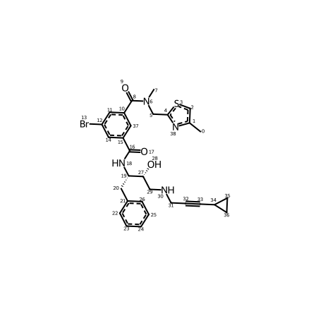 Cc1csc(CN(C)C(=O)c2cc(Br)cc(C(=O)N[C@@H](Cc3ccccc3)[C@H](O)CNCC#CC3CC3)c2)n1